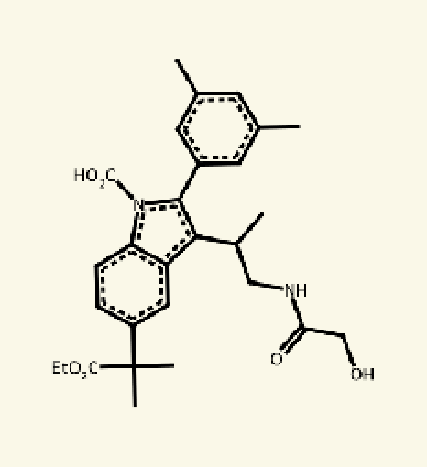 CCOC(=O)C(C)(C)c1ccc2c(c1)c(C(C)CNC(=O)CO)c(-c1cc(C)cc(C)c1)n2C(=O)O